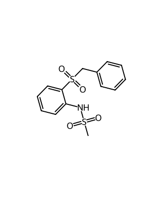 CS(=O)(=O)Nc1ccccc1S(=O)(=O)Cc1ccccc1